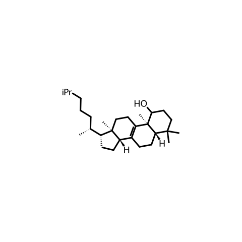 CC(C)CCC[C@@H](C)[C@H]1CC[C@H]2C3=C(CC[C@]12C)[C@@]1(C)C(O)CCC(C)(C)[C@@H]1CC3